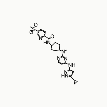 CN(c1nccc(Nc2cc(C3CC3)[nH]n2)n1)C1CCC(NC(=O)c2ccc(S(C)(=O)=O)cn2)CC1